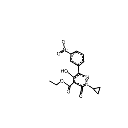 CCOC(=O)c1c(O)c(-c2cccc([N+](=O)[O-])c2)nn(C2CC2)c1=O